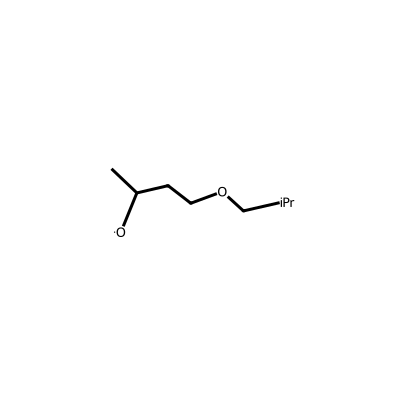 CC(C)COCCC(C)[O]